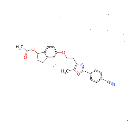 CC(=O)OC1CCc2cc(OCCc3nc(-c4ccc(C#N)cc4)oc3C)ccc21